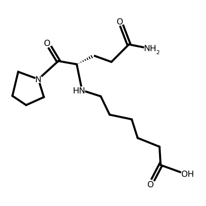 NC(=O)CC[C@H](NCCCCCC(=O)O)C(=O)N1CCCC1